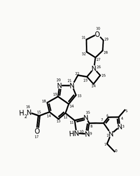 CCn1nc(C)cc1-c1n[nH]c(-c2cc(C(N)=O)cc3nn(CC4CCN4C4CCOCC4)cc23)n1